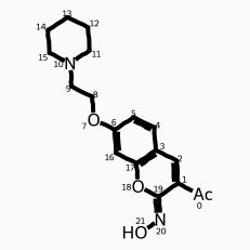 CC(=O)c1cc2ccc(OCCN3CCCCC3)cc2oc1=NO